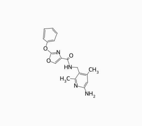 Cc1cc(N)nc(C)c1CNC(=O)c1coc(Oc2ccccc2)n1